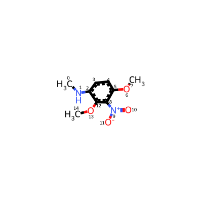 CNc1ccc(OC)c([N+](=O)[O-])c1OC